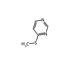 CSc1c[c]ncn1